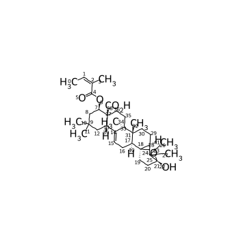 C/C=C(/C)C(=O)O[C@@H]1CC(C)(C)C[C@H]2C3=CC[C@@H]4[C@]56CC[C@@](O)(OC5)C(C)(C)[C@@H]6CC[C@@]4(C)[C@]3(C)CC[C@@]12C(=O)O